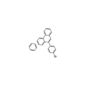 Brc1ccc(-c2cc3ccccc3c3ccccc23)cc1.c1ccccc1